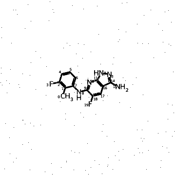 Cc1c(F)cccc1Nc1nc2[nH]nc(N)c2cc1F